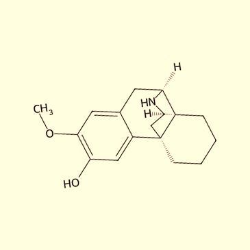 COc1cc2c(cc1O)[C@]13CCCC[C@@H]1[C@H](C2)NCC3